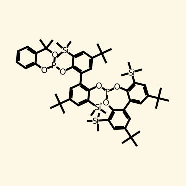 CC(C)(C)c1cc(-c2cc(C(C)(C)C)cc([Si](C)(C)C)c2Op2oc3c([Si](C)(C)C)cc(C(C)(C)C)cc3c3cc(C(C)(C)C)cc([Si](C)(C)C)c3o2)c(OP2Oc3ccccc3C(C)(C)O2)c([Si](C)(C)C)c1